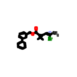 CC1(C)C(/C=C(\Br)C(F)(F)F)C1C(=O)OCc1cccc(-c2ccccc2)c1